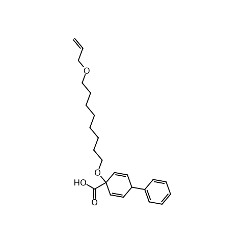 C=CCOCCCCCCCCOC1(C(=O)O)C=CC(c2ccccc2)C=C1